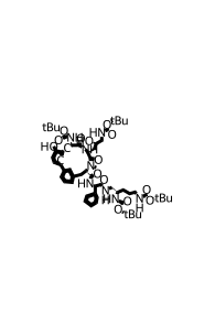 CN1C(=O)[C@H](C[C@@H](O)CNC(=O)OC(C)(C)C)NC(=O)[C@@H](NC(=O)OC(C)(C)C)Cc2cc(ccc2O)-c2cccc(c2)C[C@H]1C(=O)N[C@H](C(=O)NC[C@H](CCCNC(=O)OC(C)(C)C)NC(=O)OC(C)(C)C)c1ccccc1